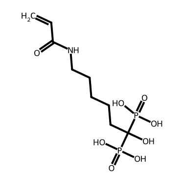 C=CC(=O)NCCCCCC(O)(P(=O)(O)O)P(=O)(O)O